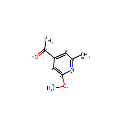 COc1cc(C(C)=O)cc(C)n1